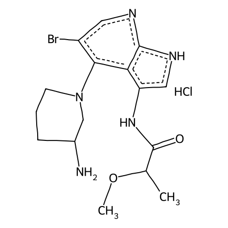 COC(C)C(=O)Nc1c[nH]c2ncc(Br)c(N3CCCC(N)C3)c12.Cl